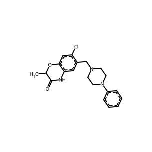 CC1Oc2cc(Cl)c(CN3CCN(c4ccccc4)CC3)cc2NC1=O